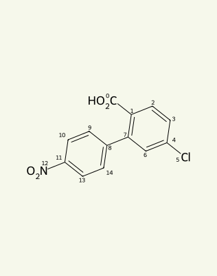 O=C(O)c1ccc(Cl)cc1-c1ccc([N+](=O)[O-])cc1